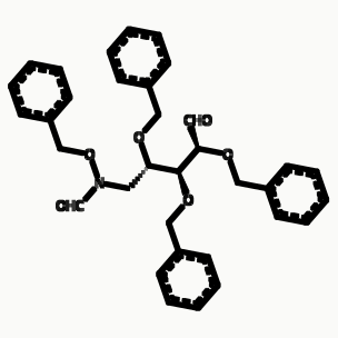 O=C[C@@H](OCc1ccccc1)[C@@H](OCc1ccccc1)[C@H](CN(C=O)OCc1ccccc1)OCc1ccccc1